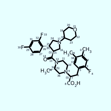 Cc1cc(F)c(C[C@@H](C(=O)O)N2CCN(C(=O)[C@@H]3CN(C4CCOCC4)C[C@H]3c3ccc(F)cc3F)[C@@H](C)C2)cc1C